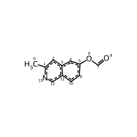 Cc1cc2cc(OC=O)ccc2cn1